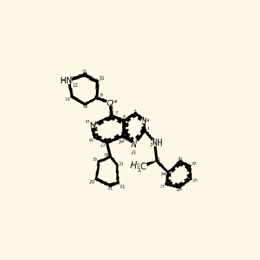 C[C@@H](Nc1ncc2c(OC3CCNCC3)ncc(C3CCCCC3)c2n1)c1ccccc1